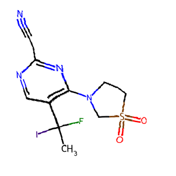 CC(F)(I)c1cnc(C#N)nc1N1CCS(=O)(=O)C1